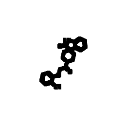 N#Cc1ccccc1OCC(=O)N1CCC2(CC1)C(=O)Nc1ccccc12